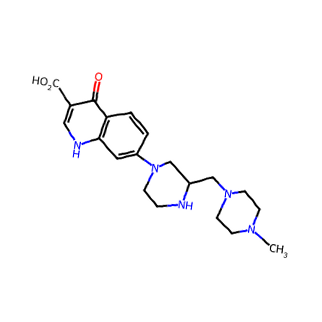 CN1CCN(CC2CN(c3ccc4c(=O)c(C(=O)O)c[nH]c4c3)CCN2)CC1